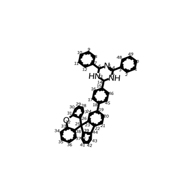 c1ccc(C2=NC(c3ccccc3)NC(c3ccc(-c4ccc5c(c4)C4(c6ccccc6Oc6ccccc64)c4ccccc4-5)cc3)N2)cc1